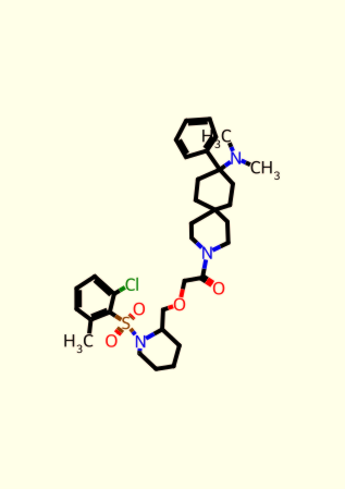 Cc1cccc(Cl)c1S(=O)(=O)N1CCCCC1COCC(=O)N1CCC2(CC1)CCC(c1ccccc1)(N(C)C)CC2